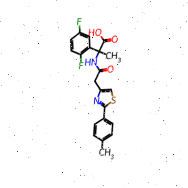 Cc1ccc(-c2nc(CC(=O)NC(C)(C(=O)O)c3cc(F)ccc3F)cs2)cc1